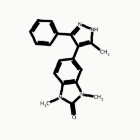 Cc1[nH]nc(-c2ccccc2)c1-c1ccc2c(c1)n(C)c(=O)n2C